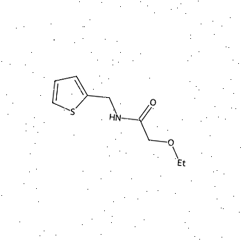 CCOCC(=O)NCc1cccs1